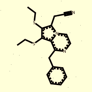 CCSc1c(SCC)c2c(Cc3ccccc3)nccn2c1CC#N